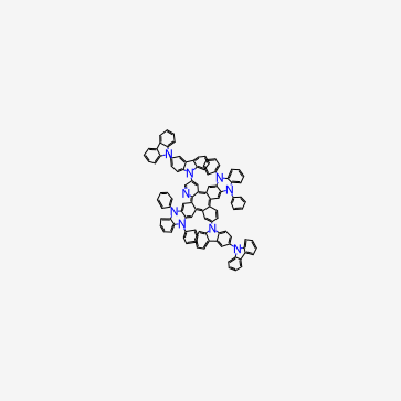 c1ccc(-n2c3ccccc3n(-c3ccccc3)c3cc4c(cc32)c2ccc(-n3c5ccccc5c5cc(-n6c7ccccc7c7ccccc76)ccc53)cc2c2cc3c(cc2c2ncc(-n5c6ccccc6c6cc(-n7c8ccccc8c8ccccc87)ccc65)cc42)n(-c2ccccc2)c2ccccc2n3-c2ccccc2)cc1